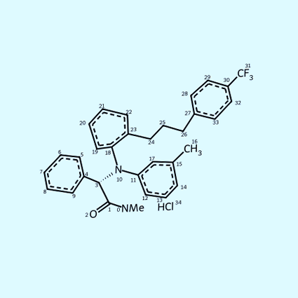 CNC(=O)[C@H](c1ccccc1)N(c1cccc(C)c1)c1ccccc1CCCc1ccc(C(F)(F)F)cc1.Cl